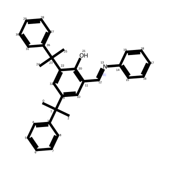 CC(C)(c1ccccc1)c1cc(/C=N/c2ccccc2)c(O)c(C(C)(C)c2ccccc2)c1